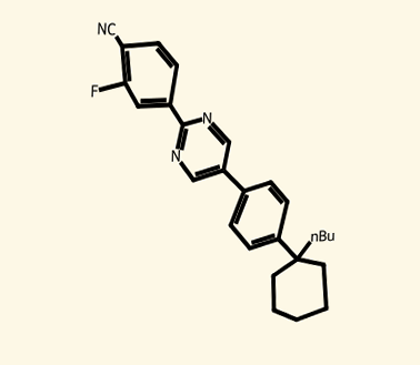 CCCCC1(c2ccc(-c3cnc(-c4ccc(C#N)c(F)c4)nc3)cc2)CCCCC1